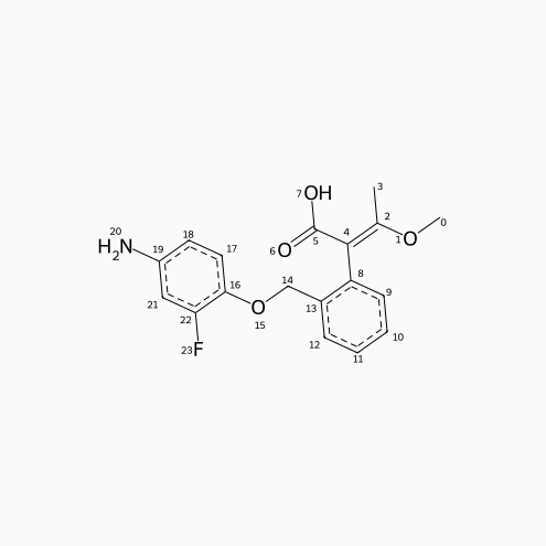 COC(C)=C(C(=O)O)c1ccccc1COc1ccc(N)cc1F